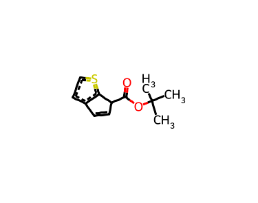 CC(C)(C)OC(=O)C1C=Cc2ccsc21